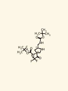 CC(C)(C)OC(=O)NC[C@@H]1C[C@@](NC(=O)OC(C)(C)C)(C(=O)C(F)(F)F)CN1